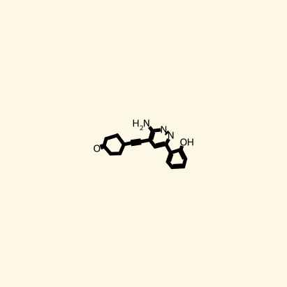 Nc1nnc(-c2ccccc2O)cc1C#CC1CCC(=O)CC1